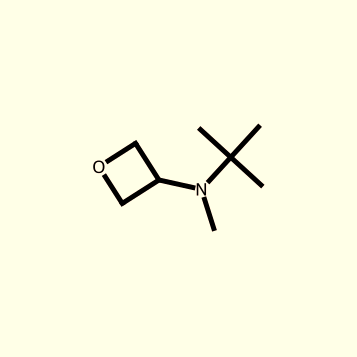 CN(C1COC1)C(C)(C)C